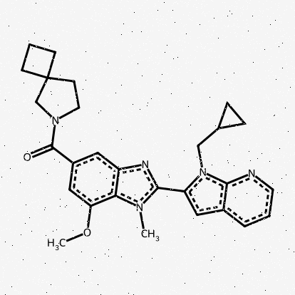 COc1cc(C(=O)N2CCC3(CCC3)C2)cc2nc(-c3cc4cccnc4n3CC3CC3)n(C)c12